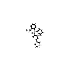 Nc1ccccc1C1NC(=O)C(CCN2CCSCC2)c2ccccc21